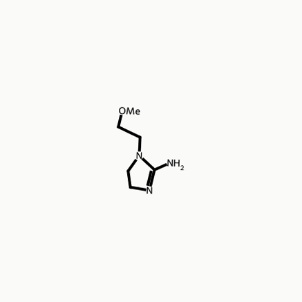 COCCN1CCN=C1N